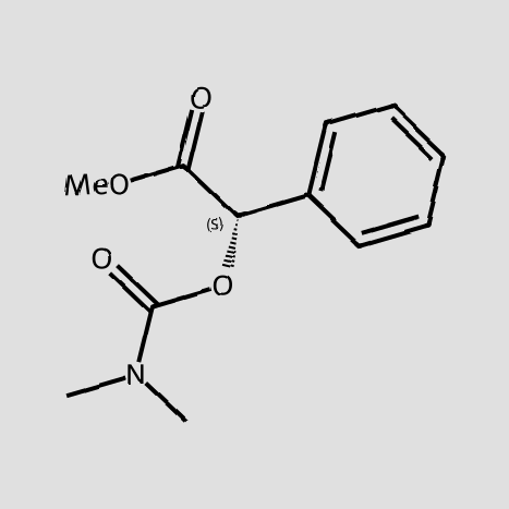 COC(=O)[C@@H](OC(=O)N(C)C)c1ccccc1